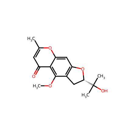 COc1c2c(cc3oc(C)cc(=O)c13)O[C@H](C(C)(C)O)C2